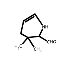 CC1(C)CC=CNC1C=O